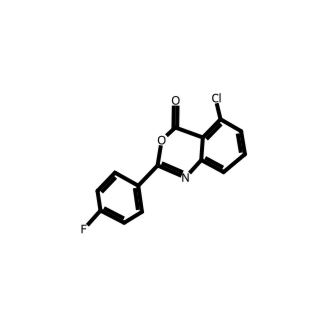 O=c1oc(-c2ccc(F)cc2)nc2cccc(Cl)c12